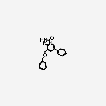 O=c1[nH]nc2c(COCc3ccccc3)cc(-c3ccccc3)cn12